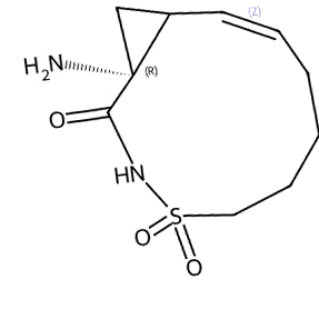 N[C@]12CC1/C=C\CCCCS(=O)(=O)NC2=O